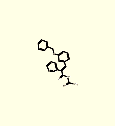 N=C(N)NC(=O)/C(=C/c1cccc(OCc2ccccc2)c1)c1cccnc1